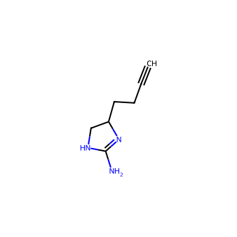 C#CCCC1CNC(N)=N1